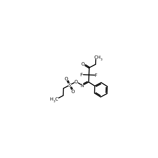 CCCS(=O)(=O)ON=C(c1ccccc1)C(F)(F)C(=O)CC